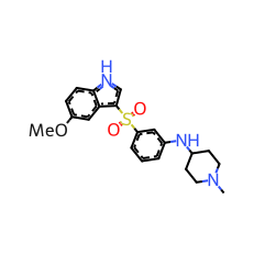 COc1ccc2[nH]cc(S(=O)(=O)c3cccc(NC4CCN(C)CC4)c3)c2c1